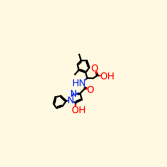 Cc1ccc(C(CC(=O)O)NC(=O)c2cc(O)n(-c3ccccc3)n2)c(C)c1